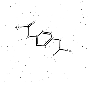 CC(=O)Oc1ccc(OC(F)F)cc1